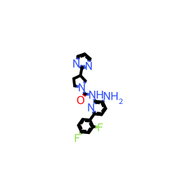 Nc1ccc(-c2ccc(F)cc2F)nc1NC(=O)N1CCC(c2ncccn2)C1